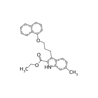 CCOC(=O)c1[nH]c2cc(C)ccc2c1CCCOc1cccc2ccccc12